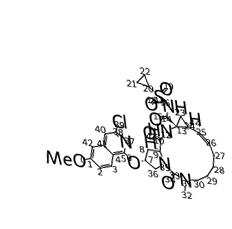 COc1ccc2c(O[C@@H]3C[C@H]4C(=O)N[C@]5(C(=O)NS(=O)(=O)C6CC6)C[C@H]5/C=C\CCCCN(C)C(=O)N4C3)nc(Cl)cc2c1